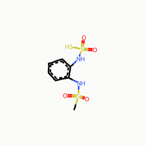 CS(=O)(=O)Nc1ccccc1NS(=O)(=O)S